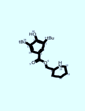 CC(C)(C)c1cc(C(=O)OCC2CCCCN2)cc(C(C)(C)C)c1O